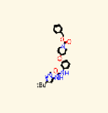 Cn1nc(C(C)(C)C)cc1NC(=O)Nc1cccc(OC2CCN(C(=O)OCc3ccccc3)CC2)c1